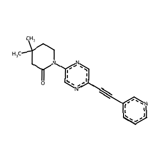 CC1(C)CCN(c2cnc(C#Cc3cccnc3)cn2)C(=O)C1